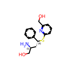 N[C@H](CO)C[C@@H](Sc1cccc(CO)n1)c1ccccc1